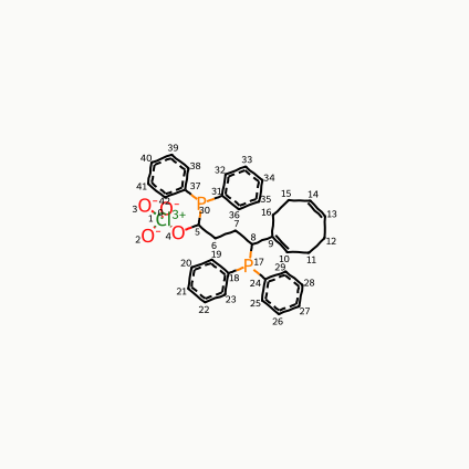 [O-][Cl+3]([O-])([O-])OC(CCC(C1=CCCC=CCC1)P(c1ccccc1)c1ccccc1)P(c1ccccc1)c1ccccc1